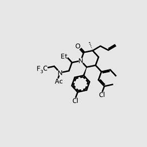 C=CC[C@@]1(C)CC(C(=C/C)/C=C(\C)Cl)[C@@H](c2ccc(Cl)cc2)N(C(CC)CN(CC(F)(F)F)C(C)=O)C1=O